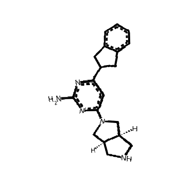 Nc1nc(C2Cc3ccccc3C2)cc(N2C[C@H]3CNC[C@H]3C2)n1